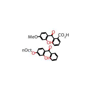 CCCCCCCCOc1ccc(C(=O)c2ccccc2)c(O)c1.COc1ccc(C(=O)c2ccccc2C(=O)O)c(O)c1